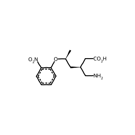 C[C@@H](C[C@H](CN)CC(=O)O)Oc1ccccc1[N+](=O)[O-]